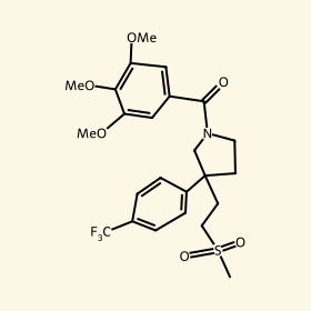 COc1cc(C(=O)N2CCC(CCS(C)(=O)=O)(c3ccc(C(F)(F)F)cc3)C2)cc(OC)c1OC